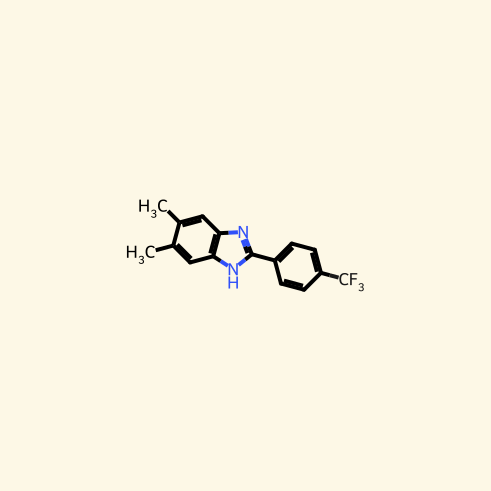 Cc1cc2nc(-c3ccc(C(F)(F)F)cc3)[nH]c2cc1C